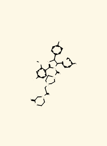 CCOc1cc(C(F)(F)F)ccc1C1=NC(c2ccc(Cl)cc2)C(c2ccc(Cl)cc2)N1C(=O)N1CCN(CC(=O)N2CCNC(=O)C2)CC1